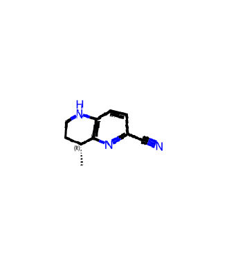 C[C@@H]1CCNc2ccc(C#N)nc21